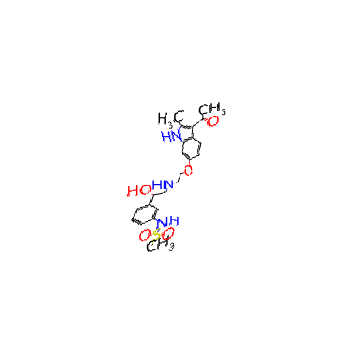 CC(=O)c1c(C)[nH]c2cc(OCCNCC(O)c3cccc(NS(C)(=O)=O)c3)ccc12